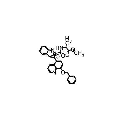 COC(=O)[C@H](C)NC(=O)C1C(c2ccc(OCc3ccccc3)c3ncccc23)C2C(=O)N1c1ccccc12